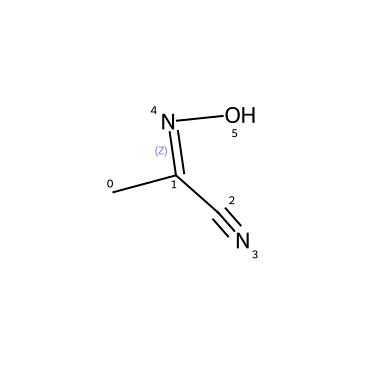 C/C(C#N)=N/O